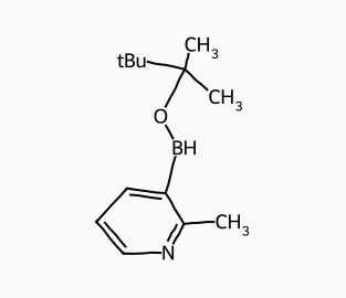 Cc1ncccc1BOC(C)(C)C(C)(C)C